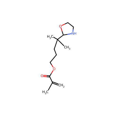 C=C(C)C(=O)OCCCC(C)(C)C1NCCO1